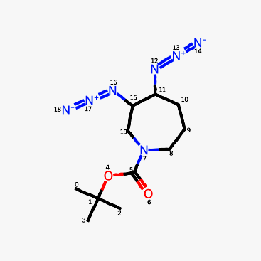 CC(C)(C)OC(=O)N1CCCC(N=[N+]=[N-])C(N=[N+]=[N-])C1